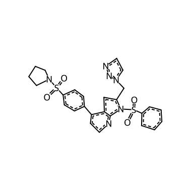 O=S(=O)(c1ccc(-c2ccnc3c2cc(Cn2ccnn2)n3S(=O)(=O)c2ccccc2)cc1)N1CCCC1